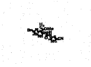 COC(C)c1c(NC(=O)Nc2cncc(C#N)c2)cnn2cc(Br)nc12